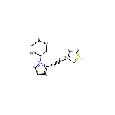 C(#Cc1cccn1C1CCCCC1)c1ccsc1